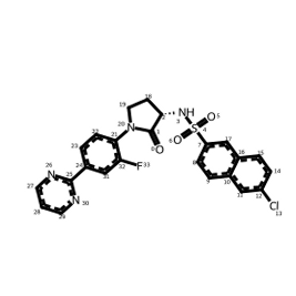 O=C1[C@@H](NS(=O)(=O)c2ccc3cc(Cl)ccc3c2)CCN1c1ccc(-c2ncccn2)cc1F